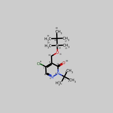 CC(C)(C)n1ncc(Cl)c(CO[Si](C)(C)C(C)(C)C)c1=O